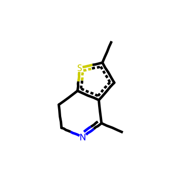 CC1=NCCc2sc(C)cc21